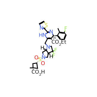 CCOC(=O)C1=C(CN2CC(F)(F)[C@@H]3CN(S(=O)(=O)[C@H]4C[C@@](C)(C(=O)O)C4)C[C@@H]32)NC(c2nccs2)=N[C@H]1c1cccc(F)c1C